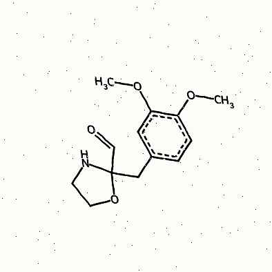 COc1ccc(CC2(C=O)NCCO2)cc1OC